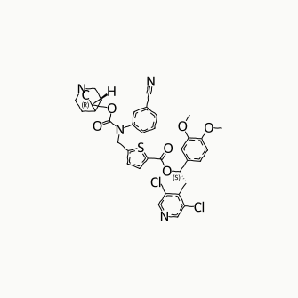 COc1ccc([C@H](Cc2c(Cl)cncc2Cl)OC(=O)c2ccc(CN(C(=O)O[C@H]3CN4CCC3CC4)c3cccc(C#N)c3)s2)cc1OC